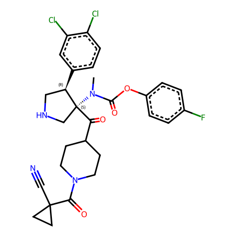 CN(C(=O)Oc1ccc(F)cc1)[C@]1(C(=O)C2CCN(C(=O)C3(C#N)CC3)CC2)CNC[C@H]1c1ccc(Cl)c(Cl)c1